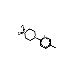 Cc1ccc(N2CCS(=O)(=O)CC2)nc1